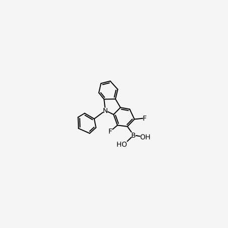 OB(O)c1c(F)cc2c3ccccc3n(-c3ccccc3)c2c1F